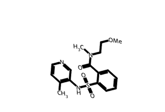 COCCN(C)C(=O)c1ccccc1S(=O)(=O)Nc1cnccc1C